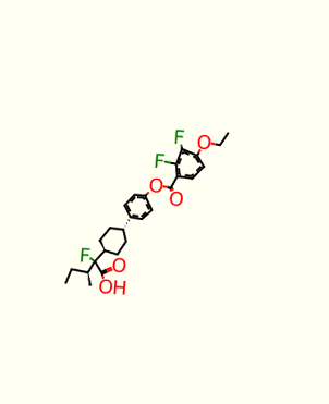 CCOc1ccc(C(=O)Oc2ccc([C@H]3CC[C@H]([C@](F)(C(=O)O)[C@@H](C)CC)CC3)cc2)c(F)c1F